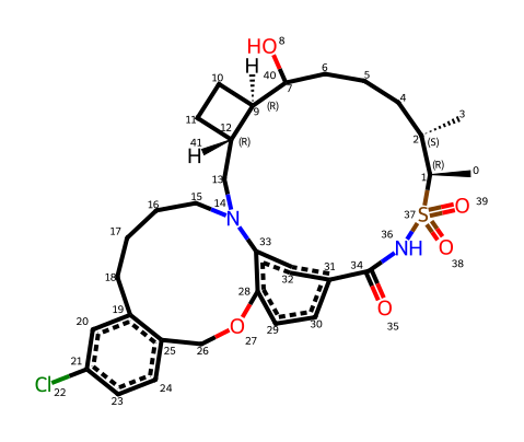 C[C@@H]1[C@@H](C)CCCC(O)[C@@H]2CC[C@H]2CN2CCCCc3cc(Cl)ccc3COc3ccc(cc32)C(=O)NS1(=O)=O